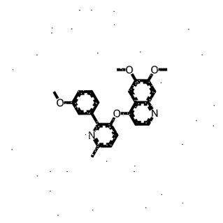 COc1cccc(-c2nc(C)ccc2Oc2ccnc3cc(OC)c(OC)cc23)c1